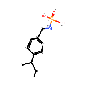 CCC(C)c1ccc(CNP(=O)(O)O)cc1